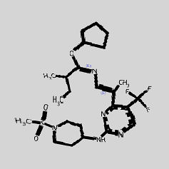 CCC(C)/C(=N\C=C(/C)c1nc(NC2CCN(S(C)(=O)=O)CC2)ncc1C(F)(F)F)OC1CCCC1